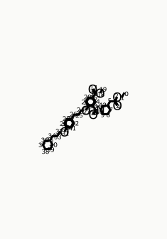 CCOC(=O)CC1CCCN(C(=O)c2cc(C(=O)OC)ccc2OCCCc2ccc(OCCCC3CCCCC3)cc2)C1